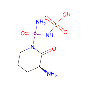 N[C@H]1CCCN(P(N)(=O)NS(=O)(=O)O)C1=O